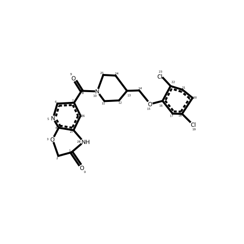 O=C1COc2ncc(C(=O)N3CCC(COc4cc(Cl)ccc4Cl)CC3)cc2N1